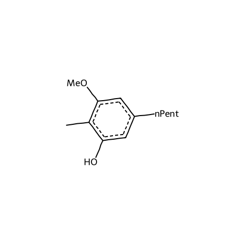 CCCCCc1cc(O)c(C)c(OC)c1